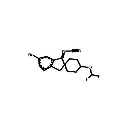 N#C/N=C1/c2cc(Br)ccc2CC12CCC(OC(F)F)CC2